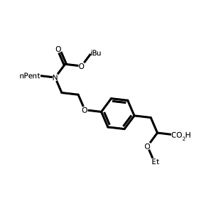 CCCCCN(CCOc1ccc(CC(OCC)C(=O)O)cc1)C(=O)OC(C)CC